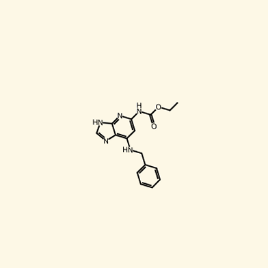 CCOC(=O)Nc1cc(NCc2ccccc2)c2nc[nH]c2n1